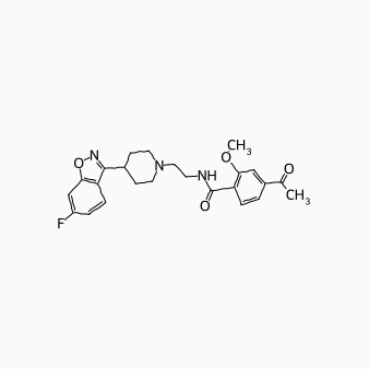 COc1cc(C(C)=O)ccc1C(=O)NCCN1CCC(c2noc3cc(F)ccc23)CC1